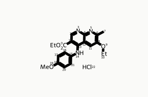 CCOC(=O)c1cnc2nc(C)c(OCC)cc2c1Nc1ccc(OC)cc1.Cl